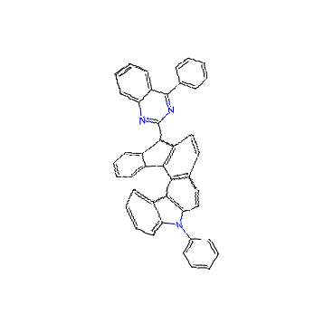 c1ccc(-c2nc(C3c4ccccc4-c4c3ccc3ccc5c(c6ccccc6n5-c5ccccc5)c43)nc3ccccc23)cc1